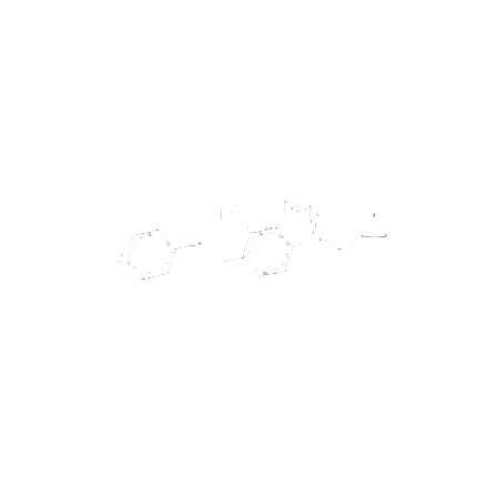 [O-][n+]1ccc(COc2ccc3c(nnn3CC3CC3)c2Br)cc1